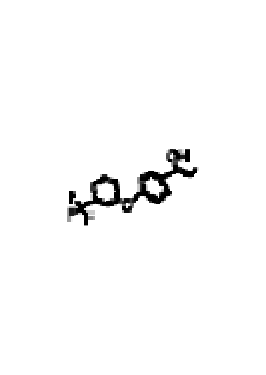 CC=C(O)c1ccc(Oc2cccc(C(F)(F)F)c2)cc1